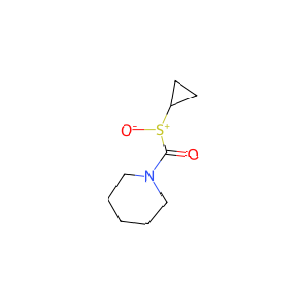 O=C(N1CCCCC1)[S+]([O-])C1CC1